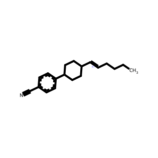 CCCC/C=C/C1CCC(c2ccc(C#N)cc2)CC1